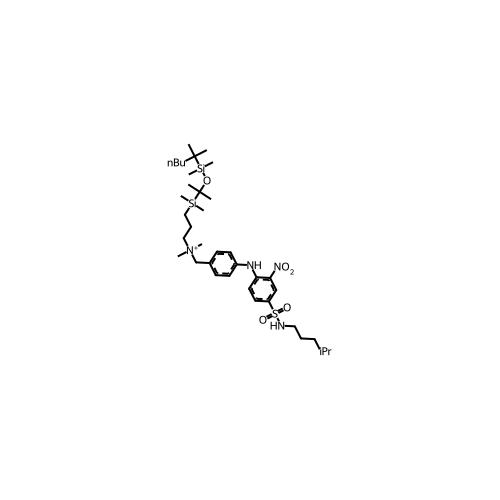 CCCCC(C)(C)[Si](C)(C)OC(C)(C)[Si](C)(C)CCC[N+](C)(C)Cc1ccc(Nc2ccc(S(=O)(=O)NCCCC(C)C)cc2[N+](=O)[O-])cc1